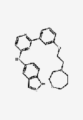 c1cc(OCCN2CCCOCC2)cc(-c2nccc(Nc3ccc4[nH]ncc4c3)n2)c1